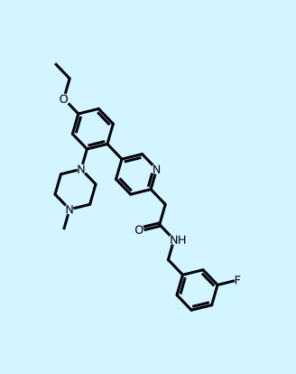 CCOc1ccc(-c2ccc(CC(=O)NCc3cccc(F)c3)nc2)c(N2CCN(C)CC2)c1